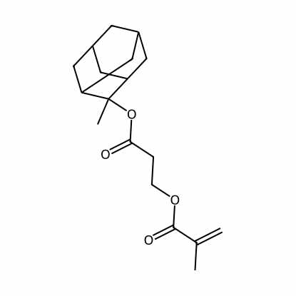 C=C(C)C(=O)OCCC(=O)OC1(C)C2CC3CC(C2)CC1C3